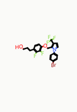 OCCCc1ccc(OCc2c(C(F)(F)F)ccn2-c2ccc(Br)cc2)c(F)c1F